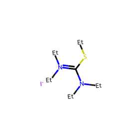 CCSC(N(CC)CC)=[N+](CC)CC.[I-]